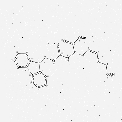 COC(=O)[C@H](C/C=C\CCC(=O)O)NC(=O)OCC1c2ccccc2-c2ccccc21